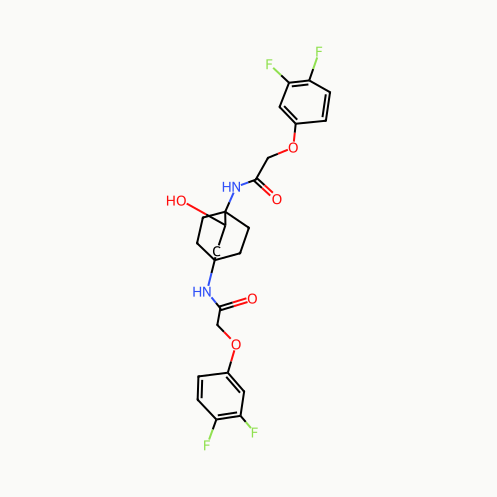 O=C(COc1ccc(F)c(F)c1)NC12CCC(NC(=O)COc3ccc(F)c(F)c3)(CC1)C(O)C2